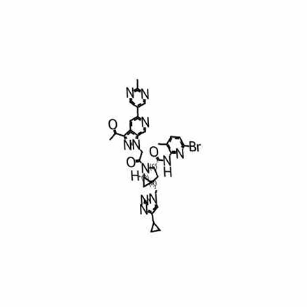 CC(=O)c1nn(CC(=O)N2[C@H](C(=O)Nc3nc(Br)ccc3C)C[C@@]3(Cn4cc(C5CC5)nn4)C[C@@H]23)c2cnc(-c3cnc(C)nc3)cc12